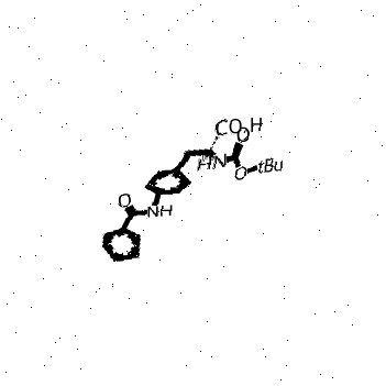 CC(C)(C)OC(=O)N[C@H](Cc1ccc(NC(=O)c2ccccc2)cc1)C(=O)O